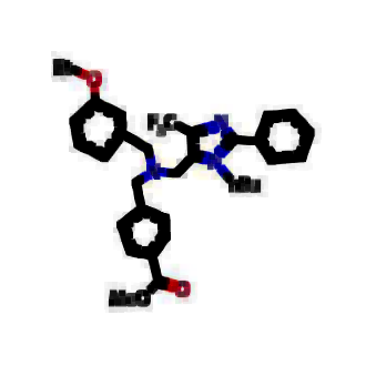 CCCCn1c(-c2ccccc2)nc(C(F)(F)F)c1CN(Cc1ccc(C(=O)OC)cc1)Cc1cccc(OCC)c1